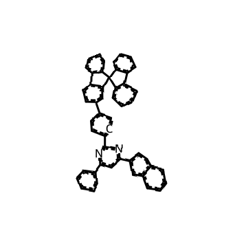 c1ccc(-c2cc(-c3ccc4ccccc4c3)nc(-c3ccc(-c4ccc5c(c4)C4(c6ccccc6-c6ccccc64)c4ccccc4-5)cc3)n2)cc1